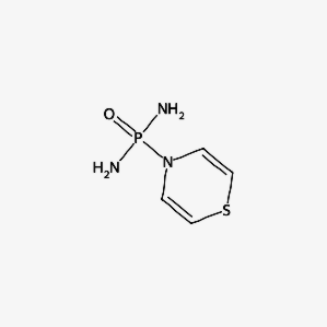 NP(N)(=O)N1C=CSC=C1